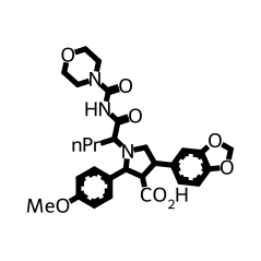 CCCC(C(=O)NC(=O)N1CCOCC1)N1CC(c2ccc3c(c2)OCO3)C(C(=O)O)C1c1ccc(OC)cc1